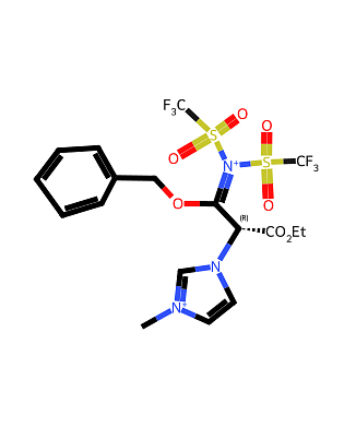 CCOC(=O)[C@@H](C(OCc1ccccc1)=[N+](S(=O)(=O)C(F)(F)F)S(=O)(=O)C(F)(F)F)n1cc[n+](C)c1